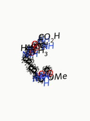 COC(=O)NC(C(=O)N1CCCC1c1ncc(-c2ccc3cc(-c4ccc5c(c4)CCc4nc(C6CCCN6C(=O)C(C)(C)OC(=O)C(CNC(=O)O)C6CCNCC6)[nH]c4-5)ccc3c2)[nH]1)c1ccccc1